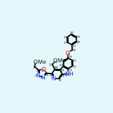 COCc1nnc(-c2ncc3[nH]c4ccc(OCc5ccccc5)cc4c3c2COC)o1